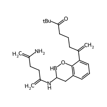 C=C(N)CCC(=C)NC1BOc2c(cccc2C(=C)CCCC(=O)C(C)(C)C)C1